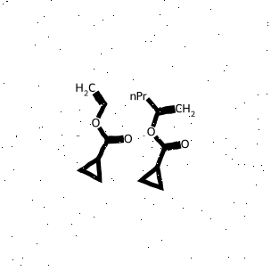 C=C(CCC)OC(=O)C1CC1.C=COC(=O)C1CC1